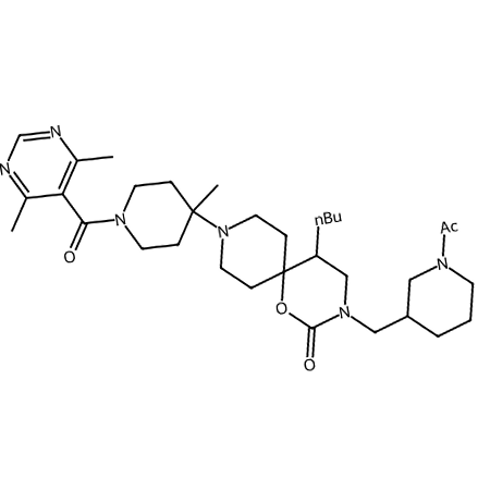 CCCCC1CN(CC2CCCN(C(C)=O)C2)C(=O)OC12CCN(C1(C)CCN(C(=O)c3c(C)ncnc3C)CC1)CC2